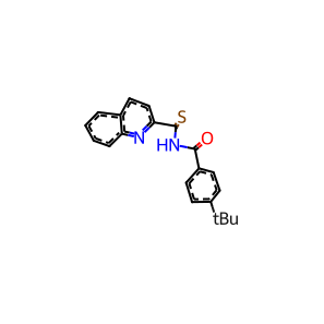 CC(C)(C)c1ccc(C(=O)NC(=S)c2ccc3ccccc3n2)cc1